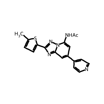 CC(=O)Nc1cc(-c2ccncc2)cc2nc(-c3ccc(C)s3)nn12